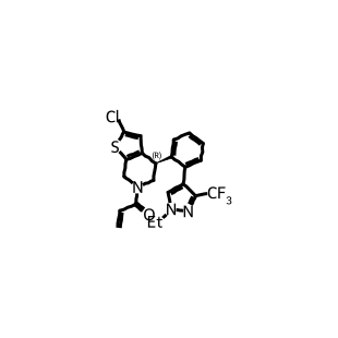 C=CC(=O)N1Cc2sc(Cl)cc2[C@@H](c2ccccc2-c2cn(CC)nc2C(F)(F)F)C1